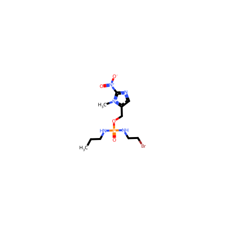 CCCNP(=O)(NCCBr)OCc1cnc([N+](=O)[O-])n1C